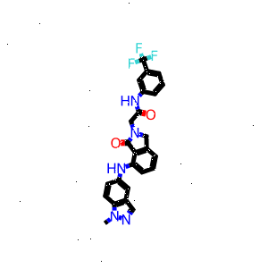 Cn1ncc2cc(Nc3cccc4c3C(=O)N(CC(=O)Nc3cccc(C(F)(F)F)c3)C4)ccc21